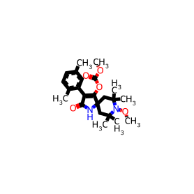 COC(=O)OC1=C(c2cc(C)ccc2C)C(=O)NC12CC(C)(C)N(OC)C(C)(C)C2